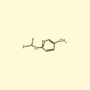 Cc1ccc(OC(F)F)nc1